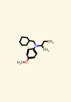 CCC(C)N(CC1CCCCC1)c1ccc(OC)cc1